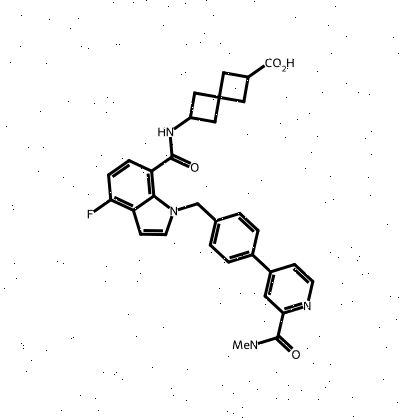 CNC(=O)c1cc(-c2ccc(Cn3ccc4c(F)ccc(C(=O)NC5CC6(C5)CC(C(=O)O)C6)c43)cc2)ccn1